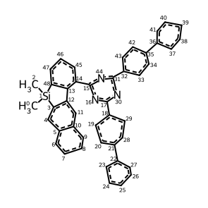 C[Si]1(C)c2cc3ccccc3cc2-c2c(-c3nc(-c4ccc(-c5ccccc5)cc4)nc(-c4ccc(-c5ccccc5)cc4)n3)cccc21